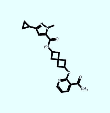 Cn1nc(C2CC2)cc1C(=O)NC1CC2(C1)CC(Oc1ncccc1C(N)=O)C2